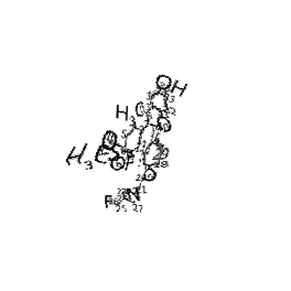 CC1=C(c2ccc(S(C)(=O)=O)c(F)c2)[C@@H](c2ccc(OCCN3CC(CF)C3)cc2)Oc2ccc(O)cc21